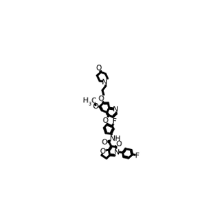 COc1cc2c(Oc3ccc(NC(=O)c4c5c(cn(-c6ccc(F)cc6)c4=O)CCO5)cc3F)ccnc2cc1OCCCN1CCC(=O)CC1